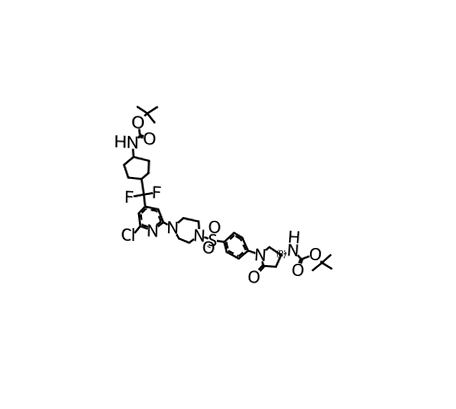 CC(C)(C)OC(=O)NC1CCC(C(F)(F)c2cc(Cl)nc(N3CCN(S(=O)(=O)c4ccc(N5C[C@H](NC(=O)OC(C)(C)C)CC5=O)cc4)CC3)c2)CC1